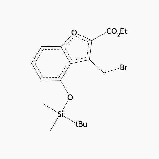 CCOC(=O)c1oc2cccc(O[Si](C)(C)C(C)(C)C)c2c1CBr